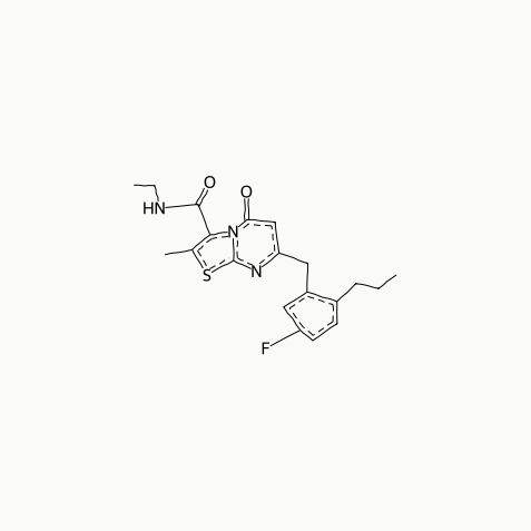 CCCc1ccc(F)cc1Cc1cc(=O)n2c(C(=O)NCC)c(C)sc2n1